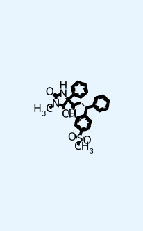 CC1N(C)C(=O)NC1(C(=O)C[C@H](c1ccccc1)c1ccc(S(C)(=O)=O)cc1)c1ccccc1